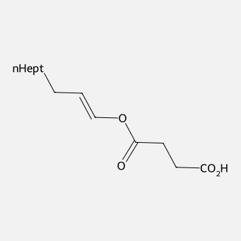 CCCCCCCC/C=C/OC(=O)CCC(=O)O